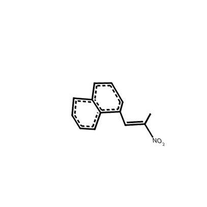 CC(=Cc1cccc2ccccc12)[N+](=O)[O-]